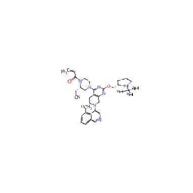 [2H]C([2H])([2H])N1CCC[C@H]1COc1nc2c(c(N3CCN(C(=O)C=C)[C@@H](CC#N)C3)n1)CCN(c1cncc3cccc([13CH3])c13)C2